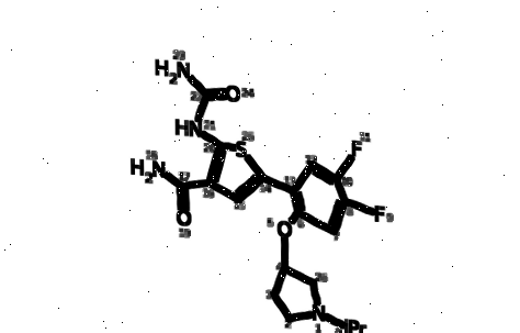 CC(C)N1CCC(Oc2cc(F)c(F)cc2-c2cc(C(N)=O)c(NC(N)=O)s2)C1